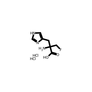 Cl.Cl.NC(CF)(Cc1c[nH]cn1)C(=O)O